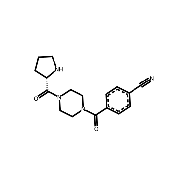 N#Cc1ccc(C(=O)N2CCN(C(=O)[C@@H]3CCCN3)CC2)cc1